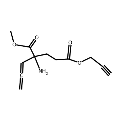 C#CCOC(=O)CCC(N)(C=C=C)C(=O)OC